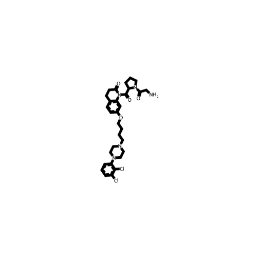 NCC(=O)N1CCCC1C(=O)N1C(=O)CCc2ccc(OCCCCN3CCN(c4cccc(Cl)c4Cl)CC3)cc21